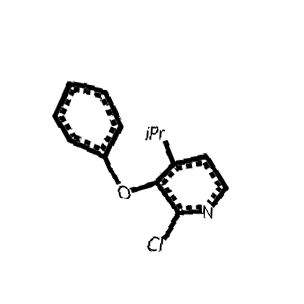 CC(C)c1ccnc(Cl)c1Oc1ccccc1